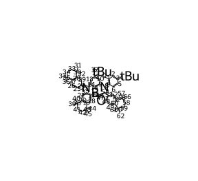 Cc1cc(C(C)(C)C)ccc1N1c2cc(C(C)(C)C)cc3c2B(c2cc4c(cc2N3C2C=CC3=C(C2)C(C)(C)CCC3(C)C)C(C)(C)CCC4(C)C)c2oc3cc4c(cc3c21)C(C)(C)CCC4(C)C